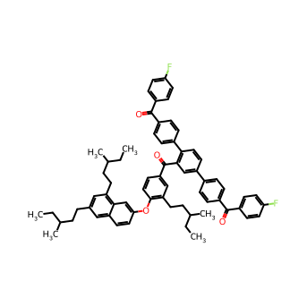 CCC(C)CCc1cc(CCC(C)CC)c2cc(Oc3ccc(C(=O)c4cc(-c5ccc(C(=O)c6ccc(F)cc6)cc5)ccc4-c4ccc(C(=O)c5ccc(F)cc5)cc4)cc3CCC(C)CC)ccc2c1